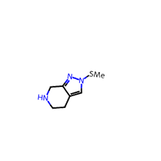 CSn1cc2c(n1)CNCC2